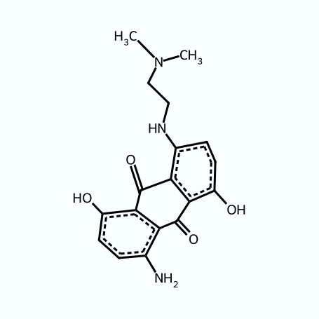 CN(C)CCNc1ccc(O)c2c1C(=O)c1c(O)ccc(N)c1C2=O